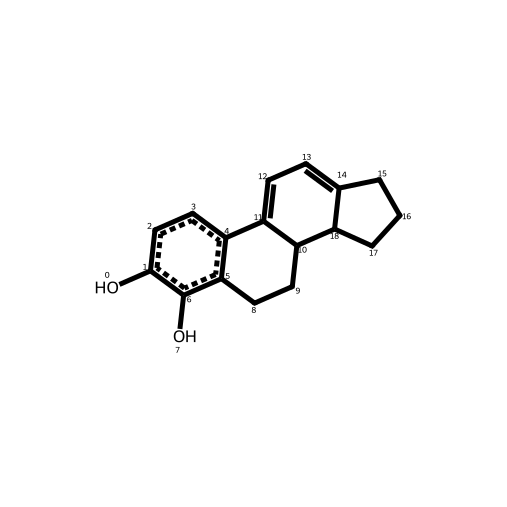 Oc1ccc2c(c1O)CCC1C2=CC=C2CCCC21